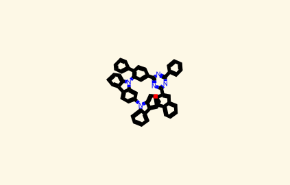 c1ccc(-c2nc(-c3ccc(-c4ccccc4)c(-n4c5ccccc5c5ccc(-n6c7ccccc7c7ccccc76)cc54)c3)nc(-c3ccc4ccccc4c3)n2)cc1